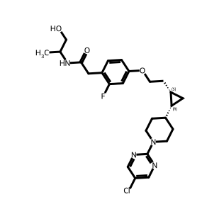 CC(CO)NC(=O)Cc1ccc(OCC[C@@H]2C[C@@H]2C2CCN(c3ncc(Cl)cn3)CC2)cc1F